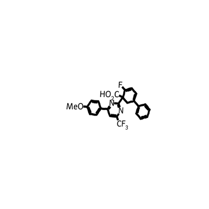 COc1ccc(-c2cc(C(F)(F)F)nc(C3(C(=O)O)CC(c4ccccc4)=CC=C3F)n2)cc1